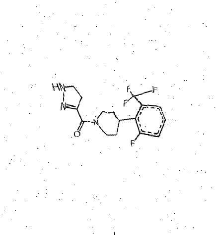 O=C(C1=NNCC1)N1CCC(c2c(F)cccc2C(F)(F)F)CC1